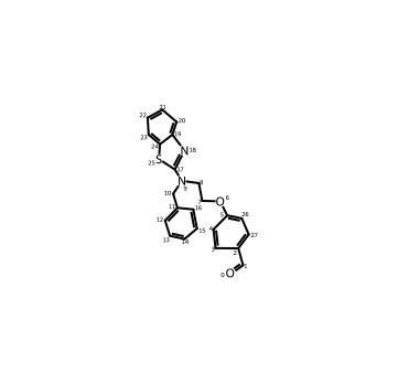 O=Cc1ccc(OCCN(Cc2ccccc2)c2nc3ccccc3s2)cc1